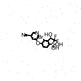 N#Cc1cncc(Oc2ccc3c(c2Br)[C@@H](O)C(F)(F)S3(O)O)c1